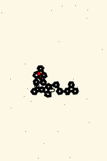 c1ccc([Si](c2ccccc2)(c2cccc(-n3c4ccccc4c4cc(-c5ccccc5-c5cccc6c5sc5c(-c7cccc(-c8ccc9c%10ccccc%10c%10ccccc%10c9c8)c7)cccc56)ccc43)c2)c2cccc3c2sc2ccccc23)cc1